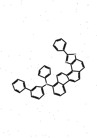 c1ccc(-c2cccc(N(c3ccccc3)c3cccc4c3ccc3c4ccc4ccc5oc(-c6ccccc6)nc5c43)c2)cc1